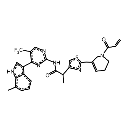 C=CC(=O)N1CCC=C(c2nc(C(C)C(=O)Nc3ncc(C(F)(F)F)c(-c4c[nH]c5c(C)cccc45)n3)cs2)C1